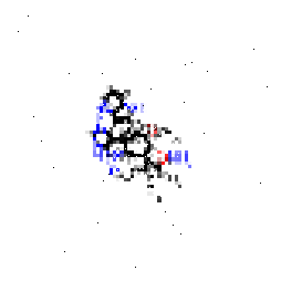 C=C(C)C(C1=C[C@@H](OC)C[C@@H]2C(=C1)NC1=C2[C@@H](c2c(C)[nH]c3c2NCC=C3)NCN1)[C@H](C)ON